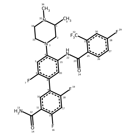 CC1CN(c2cc(F)c(-c3cc(C(N)=O)c(F)cc3F)cc2NC(=O)c2ccc(F)cc2C(F)(F)F)CCN1C